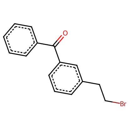 O=C(c1ccccc1)c1cccc(CCBr)c1